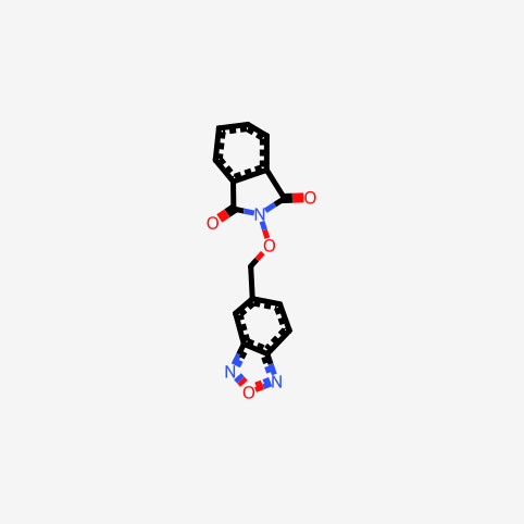 O=C1c2ccccc2C(=O)N1OCc1ccc2nonc2c1